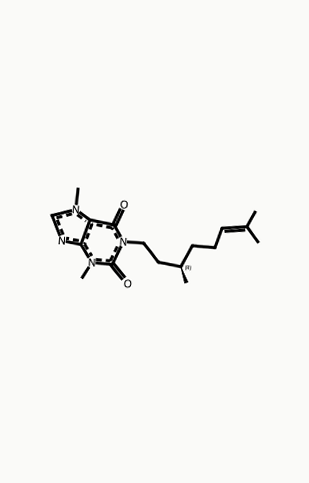 CC(C)=CCC[C@@H](C)CCn1c(=O)c2c(ncn2C)n(C)c1=O